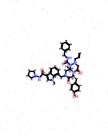 C=CCN1CC(=O)N2[C@@H](Cc3ccc(O)cc3)C(=O)N(Cc3cccc4c(C(=O)NN5CCCC5)cn(C)c34)C[C@@H]2N1C(=O)NCc1ccccc1